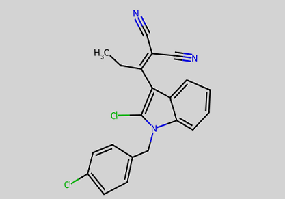 CCC(=C(C#N)C#N)c1c(Cl)n(Cc2ccc(Cl)cc2)c2ccccc12